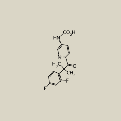 CC(C)(C(=O)c1ccc(NC(=O)O)cn1)c1ccc(F)cc1F